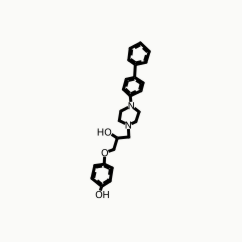 Oc1ccc(OCC(O)CN2CCN(c3ccc(-c4ccccc4)cc3)CC2)cc1